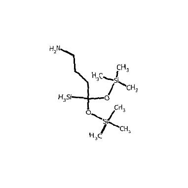 C[Si](C)(C)OC([SiH3])(CCCN)O[Si](C)(C)C